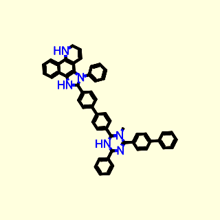 CN1C(c2ccc(-c3ccccc3)cc2)=NC(c2ccccc2)NC1c1ccc(-c2ccc(C3Nc4c(c5c(c6ccccc46)NCC=C5)N3c3ccccc3)cc2)cc1